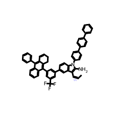 C/C=C\c1c(N)n(-c2ccc(-c3ccc(-c4ccccc4)cc3)cc2)c2ccc(-c3cc(-c4c5c(c(-c6ccccc6)c6ccccc46)C=CCC5)cc(C(F)(F)F)c3)cc12